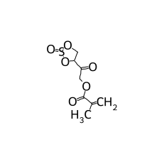 C=C(C)C(=O)OCC(=O)C1COS(=O)O1